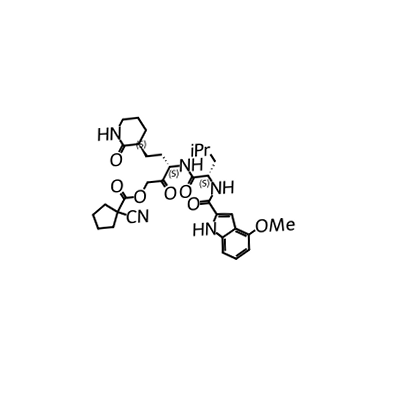 COc1cccc2[nH]c(C(=O)N[C@@H](CC(C)C)C(=O)N[C@@H](CC[C@@H]3CCCNC3=O)C(=O)COC(=O)C3(C#N)CCCC3)cc12